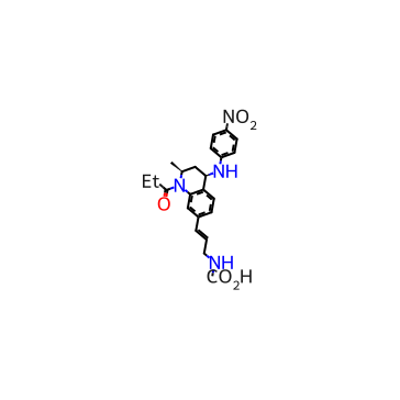 CCC(=O)N1c2cc(/C=C/CNC(=O)O)ccc2[C@H](Nc2ccc([N+](=O)[O-])cc2)C[C@@H]1C